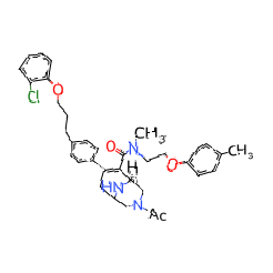 CC(=O)N1CC2CC(c3ccc(CCCOc4ccccc4Cl)cc3)=C(C(=O)N(C)CCOc3ccc(C)cc3)[C@@H](C1)N2